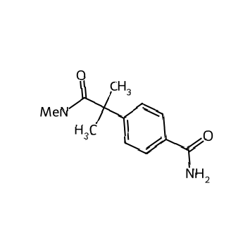 CNC(=O)C(C)(C)c1ccc(C(N)=O)cc1